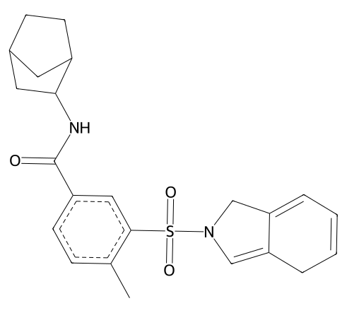 Cc1ccc(C(=O)NC2CC3CCC2C3)cc1S(=O)(=O)N1C=C2CC=CC=C2C1